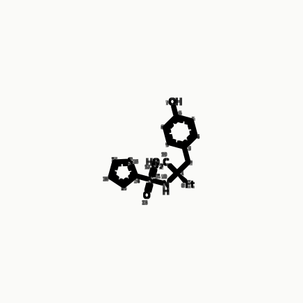 CC[C@@](Cc1ccc(O)cc1)(NS(=O)(=O)c1cccs1)C(=O)O